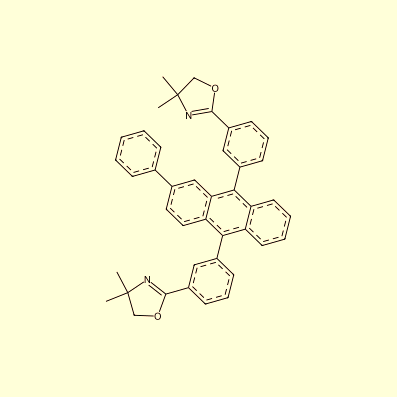 CC1(C)COC(c2cccc(-c3c4ccccc4c(-c4cccc(C5=NC(C)(C)CO5)c4)c4cc(-c5ccccc5)ccc34)c2)=N1